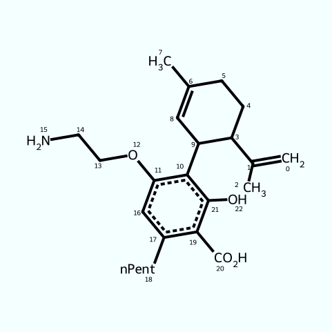 C=C(C)C1CCC(C)=CC1c1c(OCCN)cc(CCCCC)c(C(=O)O)c1O